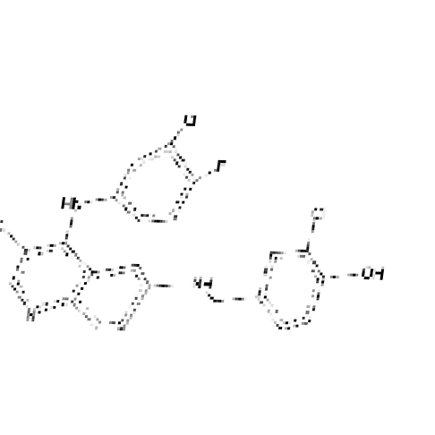 N#Cc1cnc2ccc(NCc3ccc(O)c(Cl)c3)cc2c1Nc1ccc(F)c(Cl)c1